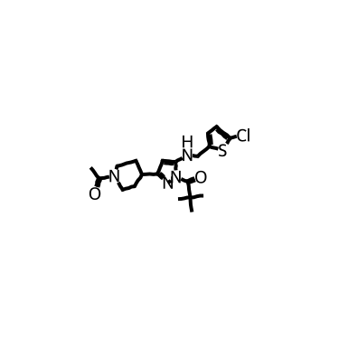 CC(=O)N1CCC(c2cc(NCc3ccc(Cl)s3)n(C(=O)C(C)(C)C)n2)CC1